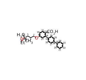 CCO[Si](C)(C)CCCOc1ccc(C(=O)O)c(-c2ccc(-c3ccccc3)cc2)c1